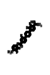 Cc1ccc(OC(=O)c2ccc(C3CCC(c4ccc(C(C)O)c(F)c4F)CC3)c(F)c2)c(F)c1F